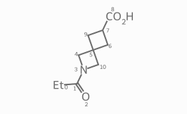 CCC(=O)N1CC2(CC(C(=O)O)C2)C1